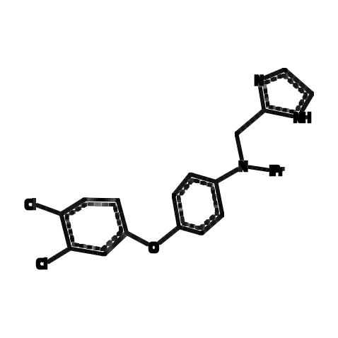 CC(C)N(Cc1ncc[nH]1)c1ccc(Oc2ccc(Cl)c(Cl)c2)cc1